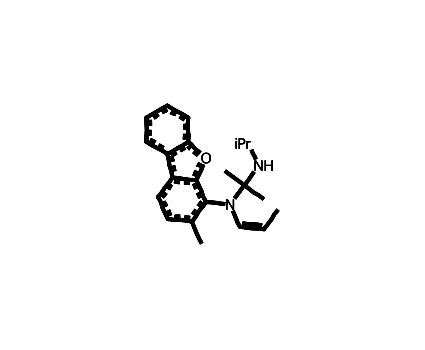 C/C=C\N(c1c(C)ccc2c1oc1ccccc12)C(C)(C)NC(C)C